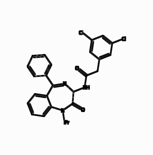 CC(C)N1C(=O)C(NC(=O)Cc2cc(Cl)cc(Cl)c2)N=C(c2ccccc2)c2ccccc21